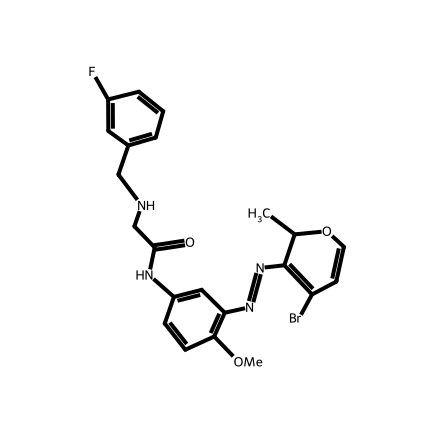 COc1ccc(NC(=O)CNCc2cccc(F)c2)cc1N=NC1=C(Br)C=COC1C